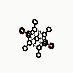 N#CC1=C(n2c3ccc(-c4ccccc4)cc3c3cc(-c4ccccc4)ccc32)C(n2c3ccc(-c4ccccc4)cc3c3cc(-c4ccccc4)ccc32)C(C#N)C(n2c3ccc(-c4ccccc4)cc3c3cc(-c4ccccc4)ccc32)=C1n1c2ccc(-c3ccccc3)cc2c2cc(-c3ccccc3)ccc21